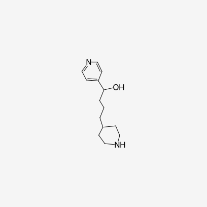 OC(CCCC1CCNCC1)c1ccncc1